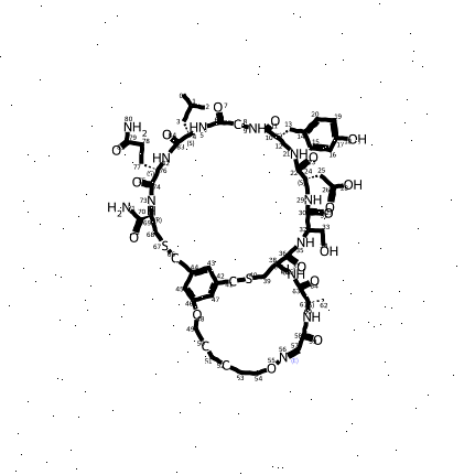 CC(C)C[C@@H]1NC(=O)CNC(=O)[C@H](Cc2ccc(O)cc2)NC(=O)[C@H](CC(=O)O)NC(=O)C(CO)NC(=O)[C@@H]2CSCc3cc(cc(c3)OCCCCCCO/N=C/C(=O)N[C@@H](C)C(=O)N2)CSC[C@@H](C(N)=O)NC(=O)[C@H](CCC(N)=O)NC1=O